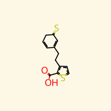 O=C(O)c1sccc1CCC1=CC(=S)CC=C1